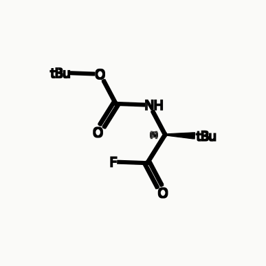 CC(C)(C)OC(=O)N[C@H](C(=O)F)C(C)(C)C